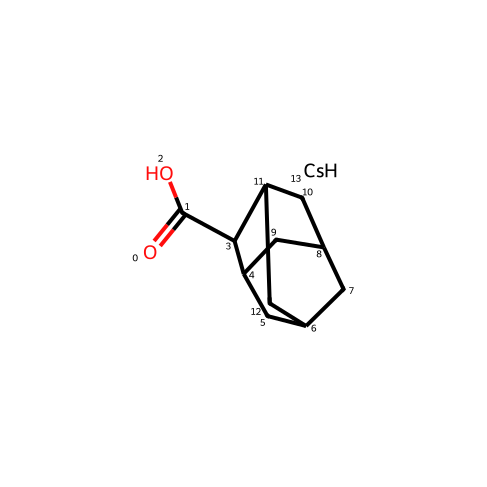 O=C(O)C1C2CC3CC(C2)CC1C3.[CsH]